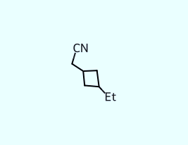 CCC1CC(CC#N)C1